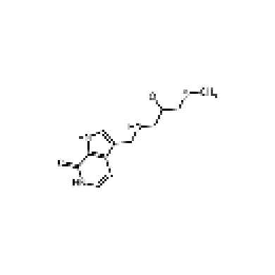 CSCC(O)CNCc1c[nH]c2c(=O)[nH]cnc12